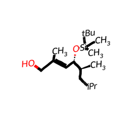 C/C(=C\[C@H](O[Si](C)(C)C(C)(C)C)[C@@H](C)CC(C)C)CO